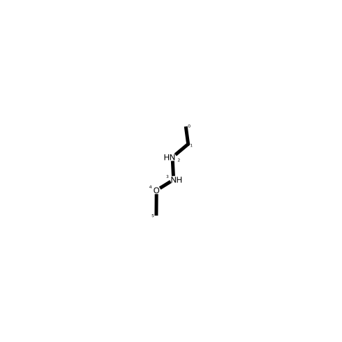 CCNNOC